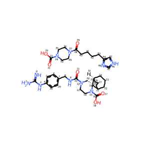 N=C(N)Nc1ccc(CNC(=O)N2CCN(C(=O)O)[C@]3(C2)C2CCC[C@H]3CCC2)cc1.O=C(O)N1CCN(C(=O)CCCCc2c[nH]cn2)CC1